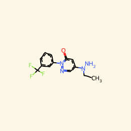 CCN(N)c1cnn(-c2cccc(C(F)(F)F)c2)c(=O)c1